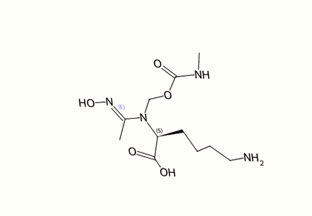 CNC(=O)OCN(/C(C)=N/O)[C@@H](CCCCN)C(=O)O